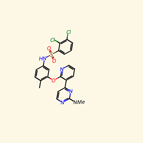 CNc1nccc(-c2cccnc2Oc2cc(NS(=O)(=O)c3cccc(Cl)c3Cl)ccc2C)n1